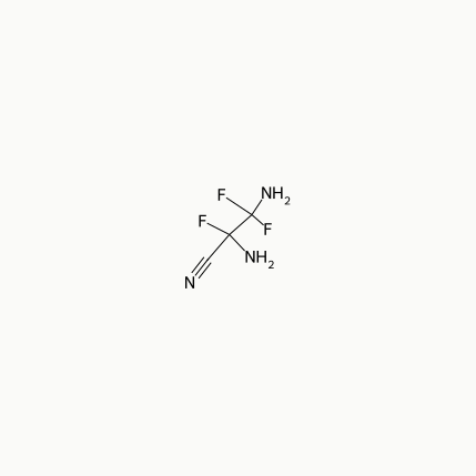 N#CC(N)(F)C(N)(F)F